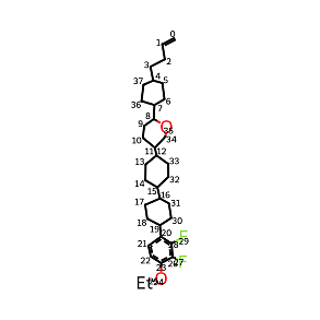 C=CCCC1CCC(C2CCC(C3CCC(C4CCC(c5ccc(OCC)c(F)c5F)CC4)CC3)CO2)CC1